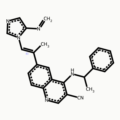 C=Nc1cncn1/C=C(\C)c1ccc2ncc(C#N)c(NC(C)c3ccccc3)c2c1